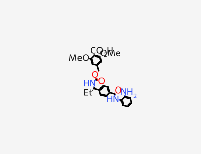 CC[C@H](NC(=O)OCc1cc(OC)c(C(=O)O)c(OC)c1)c1ccc(C(=O)Nc2ccccc2N)cc1